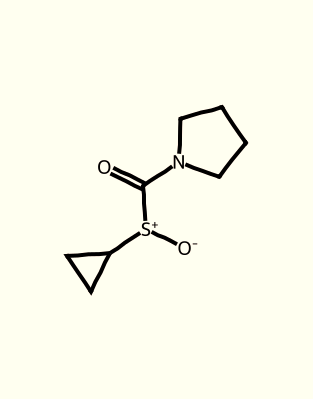 O=C(N1CCCC1)[S+]([O-])C1CC1